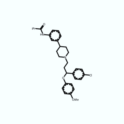 COc1ccc(OC(CCN2CCC(c3cccc(NC(=O)C(C)C)c3)CC2)c2ccc(Cl)cc2)cc1